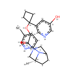 N#Cc1ccc(N2C3CC[C@H]2CN(C(=O)COC2(c4cncc(O)c4)CCC2)C3)nc1